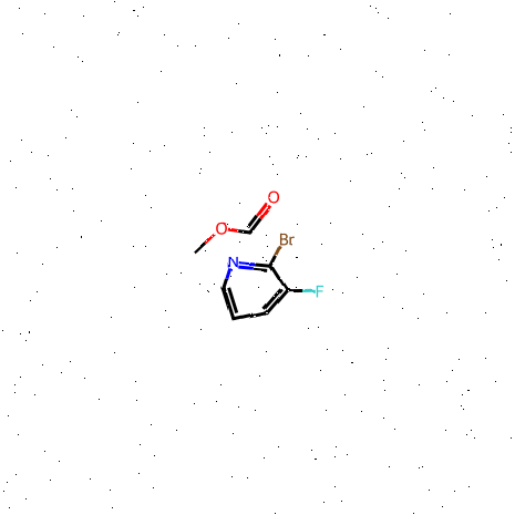 COC=O.Fc1cccnc1Br